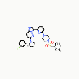 CC(C)CS(=O)(=O)N1CCN(c2cccc(-c3cnc4ccc(N5CCC[C@@H]5c5cccc(F)c5)nn34)n2)CC1